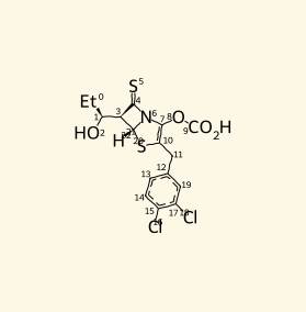 CC[C@H](O)[C@H]1C(=S)N2C(OC(=O)O)=C(Cc3ccc(Cl)c(Cl)c3)S[C@H]12